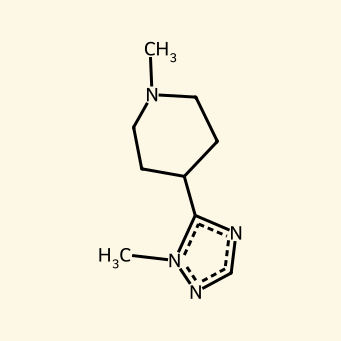 CN1CCC(c2ncnn2C)CC1